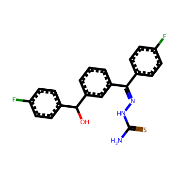 NC(=S)NN=C(c1ccc(F)cc1)c1cccc(C(O)c2ccc(F)cc2)c1